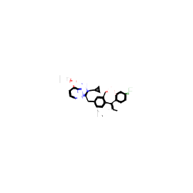 CCOc1cccn2c(Cc3ccc4c(c3)COc3cc(F)ccc3C4=C(C)C#N)c(C3CC3)nc12